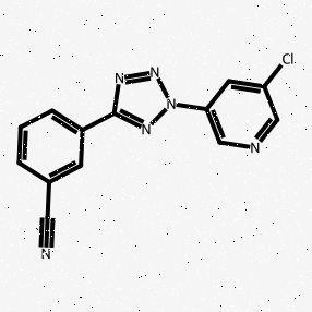 N#Cc1cccc(-c2nnn(-c3cncc(Cl)c3)n2)c1